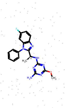 COc1nc(N)nc(N[C@@H](C)c2nc3ccc(F)cc3n2-c2ccccc2)n1